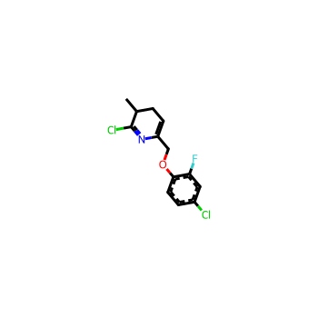 CC1CC=C(COc2ccc(Cl)cc2F)N=C1Cl